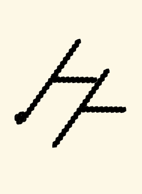 CCCCCCCCCCCCCCCCCC[S+](CCCCCCCCCCCCCCCCCC)CCCCCCCCCCCCCCCCCC.CCCCCCCCCCCCCCCCCC[S+](CCCCCCCCCCCCCCCCCC)CCCCCCCCCCCCCCCCCC.O=S(=O)([O-])[O-]